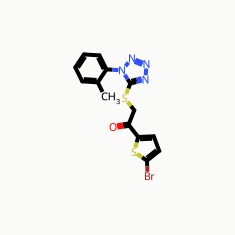 Cc1ccccc1-n1nnnc1SCC(=O)c1ccc(Br)s1